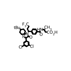 C[C@H](CC(=O)O)NC(=O)c1ccc(C(CCC(F)(F)F)N2C(=O)C(c3cc(Cl)cc(Cl)c3)=NC23CCC(C(C)(C)C)CC3)cc1